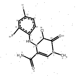 CN1C=C(C(N)=O)N(Nc2ccc(I)cc2F)C(Cl)C1=O